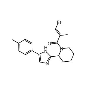 CC/C=C(\C)C(=O)N1CCCCC1c1ncc(-c2ccc(C)cc2)[nH]1